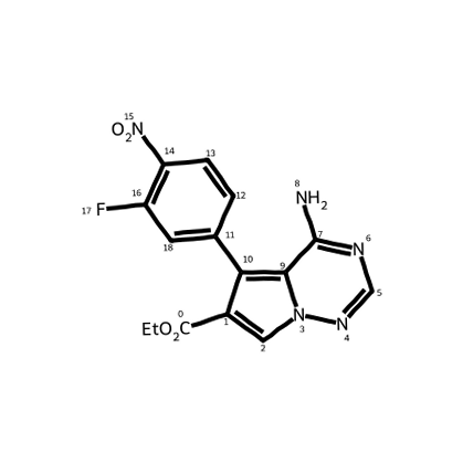 CCOC(=O)c1cn2ncnc(N)c2c1-c1ccc([N+](=O)[O-])c(F)c1